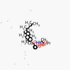 CC(C)=CCC[C@@H](C)[C@H]1CC[C@@]2(C)C3=C(CC[C@]12C)[C@@]1(C)CC[C@H](OC(=O)c2ccccc2OP(=O)(O)N[C@@H](C)C(=O)OC(C)C)C(C)(C)[C@@H]1CC3